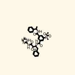 CC(NC(=O)c1cc(C(=O)NC(Cc2ccccc2)C(O)C(=O)Nc2nnn[nH]2)cc(N(C)S(C)(=O)=O)c1)c1ccccc1